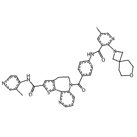 Cc1cnc(N2CC3(CCOCC3)C2)c(C(=O)Nc2ccc(C(=O)N3CCc4cc(C(=O)Nc5ccncc5C)sc4-c4ncccc43)cc2)c1